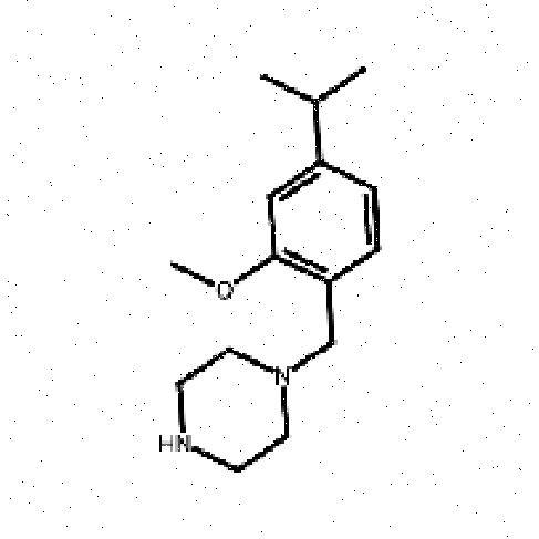 COc1cc(C(C)C)ccc1CN1CCNCC1